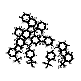 CC(C)(C)c1ccc(N(c2ccc3c(c2)c2cc(N(c4ccc(C(C)(C)C)cc4)c4cccc5c4oc4c(C(F)(F)F)cccc45)cc4c2n3-c2ccccc2C42c3ccc4ccccc4c3-c3c2ccc2ccccc32)c2cccc3c2oc2c(C(F)(F)F)cccc23)cc1